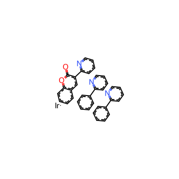 O=c1oc2ccccc2cc1-c1ccccn1.[Ir].c1ccc(-c2ccccn2)cc1.c1ccc(-c2ccccn2)cc1